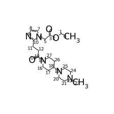 CCOC(=O)Cn1ccnc1CCC(=O)N1CCC(N2CCN(C)CC2)CC1